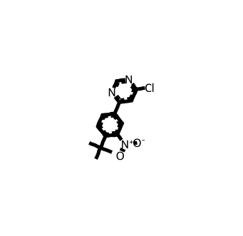 CC(C)(C)c1ccc(-c2cc(Cl)ncn2)cc1[N+](=O)[O-]